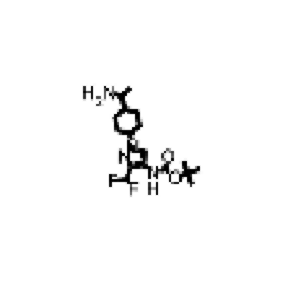 CC(N)C1CCC(n2cc(NC(=O)OC(C)(C)C)c(C(F)F)n2)CC1